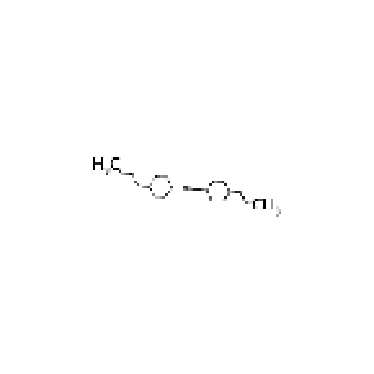 CCCCC1CCC(C#CC2CCC(CCC)CC2)CC1